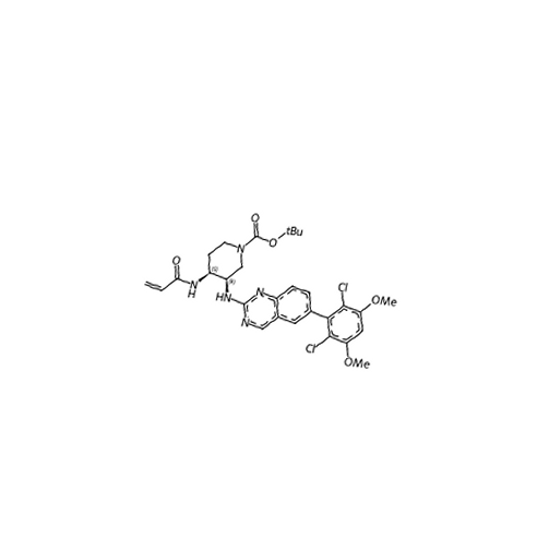 C=CC(=O)N[C@H]1CCN(C(=O)OC(C)(C)C)C[C@H]1Nc1ncc2cc(-c3c(Cl)c(OC)cc(OC)c3Cl)ccc2n1